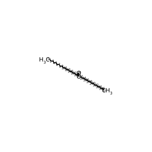 CCCCCCCCCCCCCCCCCCCC(=O)OCCCCCCCCCCCCCCCC